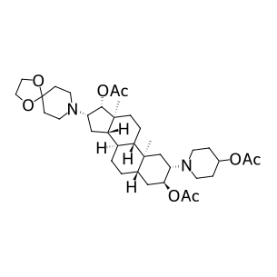 CC(=O)OC1CCN([C@H]2C[C@@]3(C)[C@@H](CC[C@@H]4[C@@H]3CC[C@@]3(C)[C@H]4C[C@H](N4CCC5(CC4)OCCO5)[C@@H]3OC(C)=O)C[C@@H]2OC(C)=O)CC1